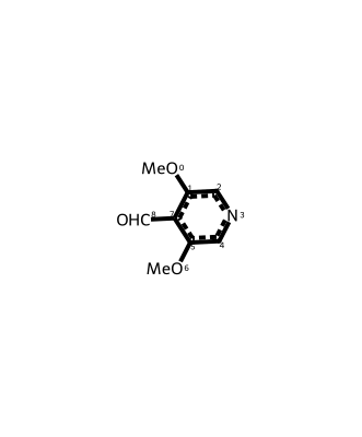 COc1cncc(OC)c1C=O